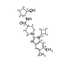 Cc1cc2nc(N3CCC(C(=O)N[C@@H]4CCC[C@H]4O)CC3)n(C3CCC3)c2cc1C